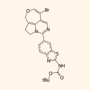 CC(C)(C)OC(=O)Nc1nc2ccc(C3=NC=C4C(Br)=COCC5=C4N3CC5)cc2s1